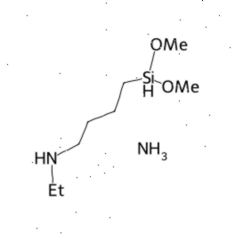 CCNCCCC[SiH](OC)OC.N